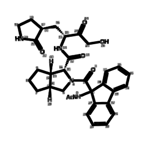 CC(=O)NC1(C(=O)N2C[C@@H]3CCC[C@@H]3[C@@H]2C(=O)N[C@H](C[C@@H]2CCNC2=O)C(=O)CO)c2ccccc2-c2ccccc21